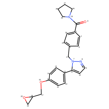 O=C(c1ccc(Cn2nccc2-c2ccc(OCC3CO3)cc2)cc1)N1CCCC1